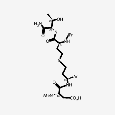 CN[C@@H](CC(=O)O)C(=O)N[C@@H](CCSCC[C@H](NC(C)C)C(=O)N[C@H](C(N)=O)[C@@H](C)O)C(C)=O